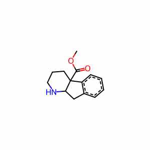 COC(=O)C12CCCNC1Cc1ccccc12